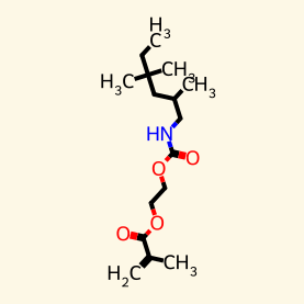 C=C(C)C(=O)OCCOC(=O)NCC(C)CC(C)(C)CC